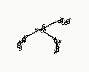 O=C(CCCCCCCCCOc1ccc(C(=O)Oc2ccc3ccc(=O)oc3c2)c(Br)c1)OCC(COC(=O)CCCCCCCCCOc1ccc(C(=O)Oc2ccc3ccc(=O)oc3c2)c(Br)c1)OC(=O)CCCCCCCCCOc1ccc(C(=O)Oc2ccc3ccc(=O)oc3c2)c(Br)c1